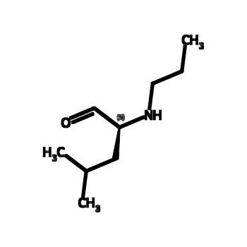 CCCN[C@H](C=O)CC(C)C